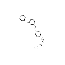 COC(=O)[C@@H]1C[C@H]1C1=CCC(OCc2cccc(Oc3ccccc3)c2)C=C1